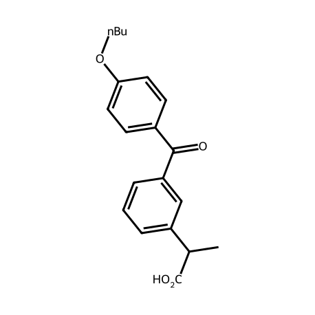 CCCCOc1ccc(C(=O)c2cccc(C(C)C(=O)O)c2)cc1